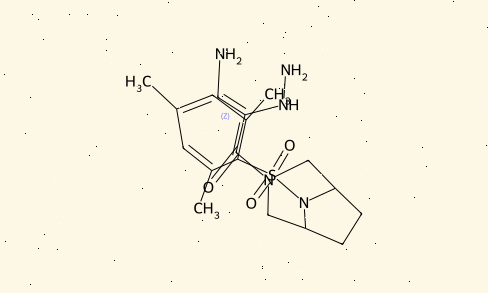 Cc1cc(C)c(S(=O)(=O)N2C3CCC2CN(C(=O)/C(=C/N)NN)C3)c(C)c1